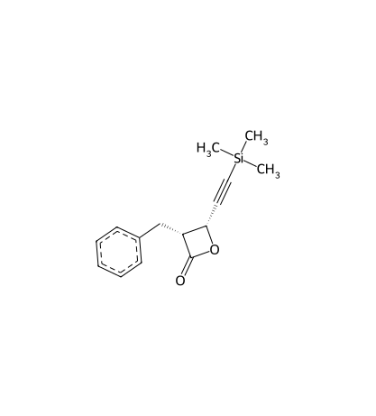 C[Si](C)(C)C#C[C@@H]1OC(=O)[C@@H]1Cc1ccccc1